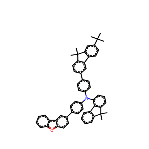 CC(C)(C)c1ccc2c(c1)C(C)(C)c1ccc(-c3ccc(N(c4ccc(-c5ccc6oc7ccccc7c6c5)cc4)c4cccc5c4-c4ccccc4C5(C)C)cc3)cc1-2